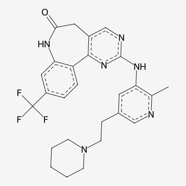 Cc1ncc(CCN2CCCCC2)cc1Nc1ncc2c(n1)-c1ccc(C(F)(F)F)cc1NC(=O)C2